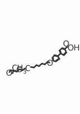 CC1(COCCCCCCCCCCOc2ccc(-c3ccc(C(=O)O)cc3)cc2)COC1